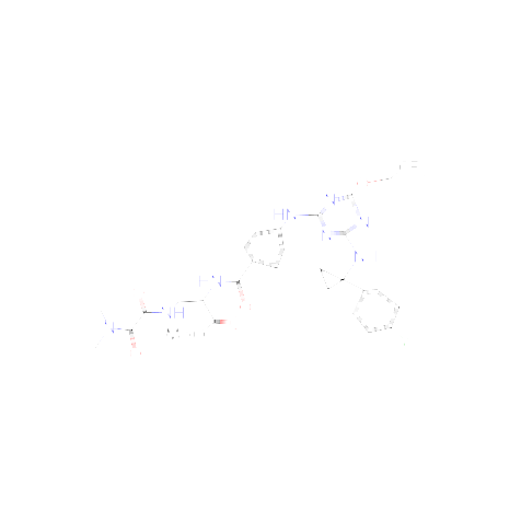 COC(=O)C(CNC(=O)C(=O)N(C)C)NC(=O)c1ccc(Nc2nc(NC3(c4ccc(Cl)cc4)CC3)nc(OCC(F)(F)F)n2)cc1